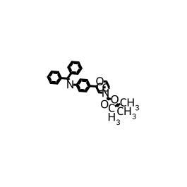 CC(C)(C)OC(=O)N1CC2(c3ccc(N=C(c4ccccc4)c4ccccc4)cc3)CCC1CO2